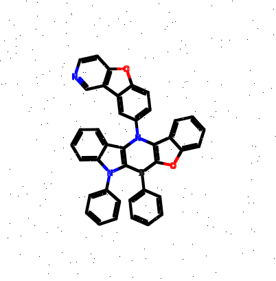 c1ccc(B2c3oc4ccccc4c3N(c3ccc4oc5ccncc5c4c3)c3c2n(-c2ccccc2)c2ccccc32)cc1